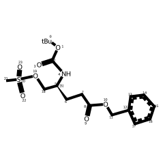 CC(C)(C)OC(=O)N[C@@H](CCC(=O)OCc1ccccc1)COS(C)(=O)=O